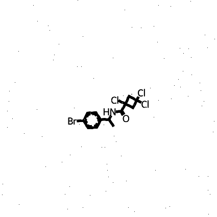 CC(NC(=O)C1(Cl)CC(Cl)(Cl)C1)c1ccc(Br)cc1